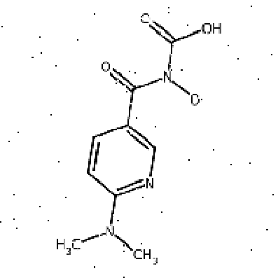 CN(C)c1ccc(C(=O)N([O])C(=O)O)cn1